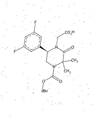 CC(C)(C)OC(=O)N1C[C@@H](c2cc(F)cc(F)c2)N(CC(=O)O)C(=O)C1(C)C